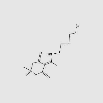 CC(=O)CCCCCNC(C)=C1C(=O)CC(C)(C)CC1=O